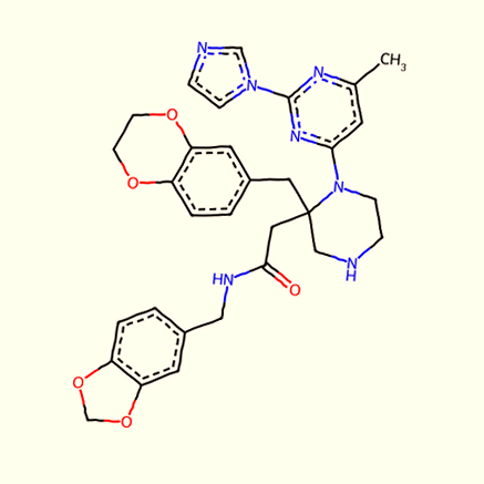 Cc1cc(N2CCNCC2(CC(=O)NCc2ccc3c(c2)OCO3)Cc2ccc3c(c2)OCCO3)nc(-n2ccnc2)n1